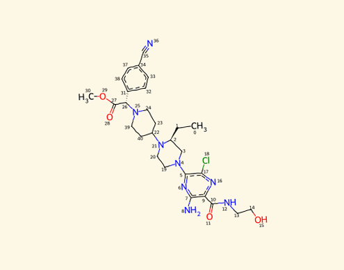 CC[C@H]1CN(c2nc(N)c(C(=O)NCCO)nc2Cl)CCN1C1CCN([C@H](C(=O)OC)c2ccc(C#N)cc2)CC1